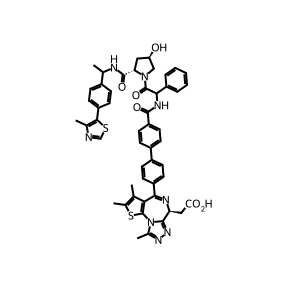 Cc1ncsc1-c1ccc(C(C)NC(=O)[C@@H]2C[C@@H](O)CN2C(=O)C(NC(=O)c2ccc(-c3ccc(C4=N[C@@H](CC(=O)O)c5nnc(C)n5-c5sc(C)c(C)c54)cc3)cc2)c2ccccc2)cc1